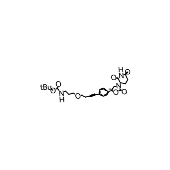 CC(C)(C)OC(=O)NCCCOCCC#Cc1ccc([C@H]2CN(C3CCC(=O)NC3=O)C(=O)O2)cc1